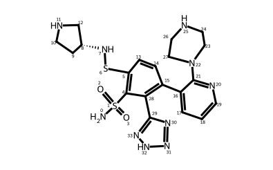 NS(=O)(=O)c1c(SN[C@@H]2CCNC2)ccc(-c2cccnc2N2CCNCC2)c1-c1nn[nH]n1